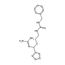 NC(N)=NC(SCCNC(=S)NCc1ccccc1)c1cscn1